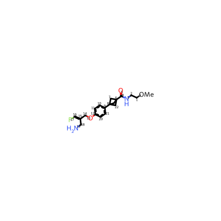 COCCNC(=O)C12CC(c3ccc(OCC(=CF)CN)cc3)(C1)C2